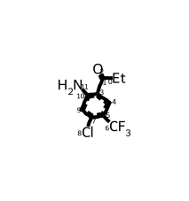 CCC(=O)c1cc(C(F)(F)F)c(Cl)cc1N